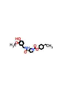 CC[C@H]1CC[C@@H](OC(=O)N2CC[C@H](C(=O)NCc3ccc(O)c(OC)c3)C2)CC1